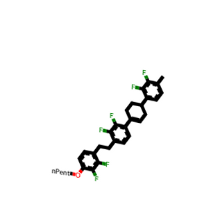 CCCCCOc1ccc(CCc2ccc(C3=CCC(c4ccc(C)c(F)c4F)CC3)c(F)c2F)c(F)c1F